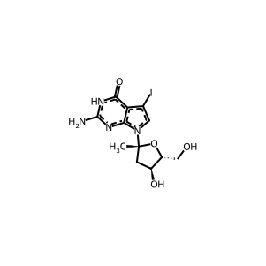 C[C@]1(n2cc(I)c3c(=O)[nH]c(N)nc32)C[C@H](O)[C@@H](CO)O1